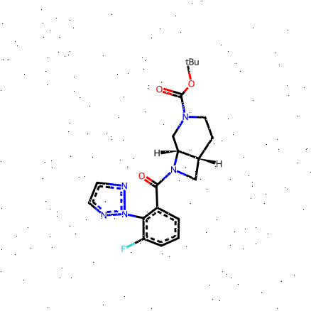 CC(C)(C)OC(=O)N1CC[C@@H]2CN(C(=O)c3cccc(F)c3-n3nccn3)[C@@H]2C1